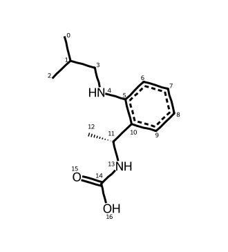 CC(C)CNc1ccccc1[C@@H](C)NC(=O)O